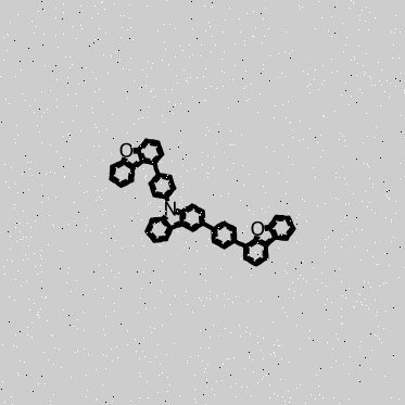 c1ccc2c(c1)oc1c(-c3ccc(-c4ccc5c(c4)c4ccccc4n5-c4ccc(-c5cccc6oc7ccccc7c56)cc4)cc3)cccc12